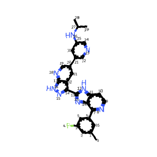 Cc1cc(F)cc(-c2nccc3[nH]c(-c4n[nH]c5ncc(-c6cncc(NC(C)C)c6)cc45)nc23)c1